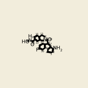 Nc1ccccc1/C=C(/C(=O)N1CCc2ccc(C(=O)NO)cc2C1)c1ccc(F)cc1